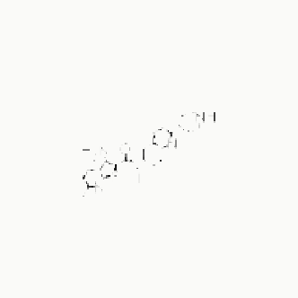 Cc1ccc2c(N)c(C(=O)N[C@H]3CCc4nc(N5CCN[C@H](C)C5)ccc4C3)sc2n1